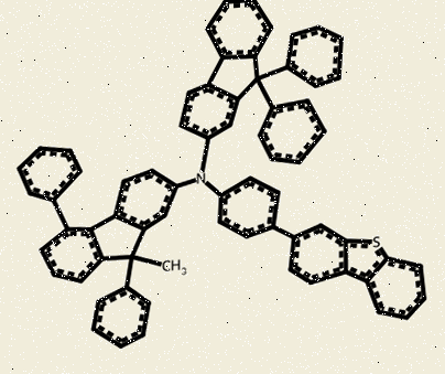 CC1(c2ccccc2)c2cc(N(c3ccc(-c4ccc5c(c4)sc4ccccc45)cc3)c3ccc4c(c3)C(c3ccccc3)(c3ccccc3)c3ccccc3-4)ccc2-c2c(-c3ccccc3)cccc21